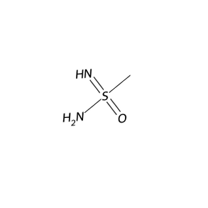 CS(=N)(N)=O